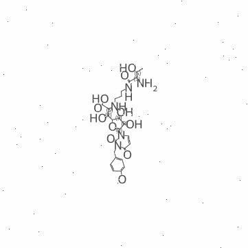 COc1ccc(Cn2c(=O)ccn([C@@H]3OC([C@H](O)[C@H](NCCCNC(=O)[C@@H](N)[C@H](C)O)C(=O)O)[C@@H](O)[C@H]3O)c2=O)cc1